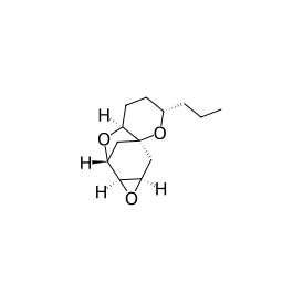 CCC[C@H]1CC[C@@H]2O[C@@H]3C[C@]2(C[C@H]2O[C@H]23)O1